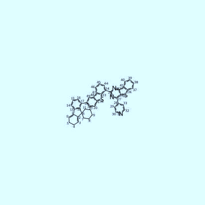 C1=C2C(=CCC1)C1(CCCCC1)c1c2cccc1-c1ccc2sc3c(-c4nc(-c5ccncc5)c5sc6ccccc6c5n4)cccc3c2c1